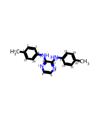 Cc1ccc(Nc2nccnc2Nc2ccc(C)cc2)cc1